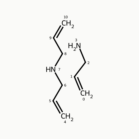 C=CCN.C=CCNCC=C